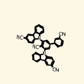 N#Cc1cccc(-c2cc(-n3c4ccccc4c4cc(C#N)ccc43)c(C#N)c(-n3c4ccccc4c4cc(C#N)ccc43)c2)c1